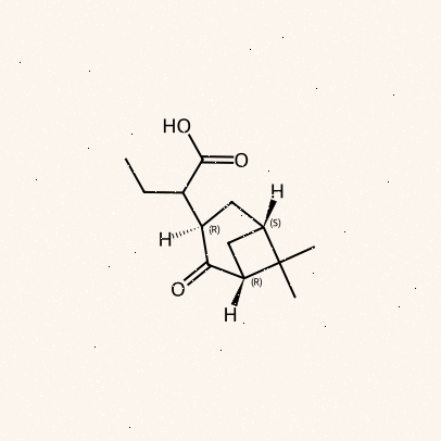 CCC(C(=O)O)[C@H]1C[C@H]2C[C@@H](C1=O)C2(C)C